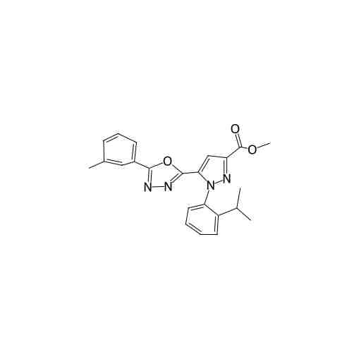 COC(=O)c1cc(-c2nnc(-c3cccc(C)c3)o2)n(-c2ccccc2C(C)C)n1